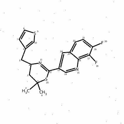 CC1(C)CC(Cc2ccsc2)N=C(c2cnc3c(F)c(F)ccc3c2)S1